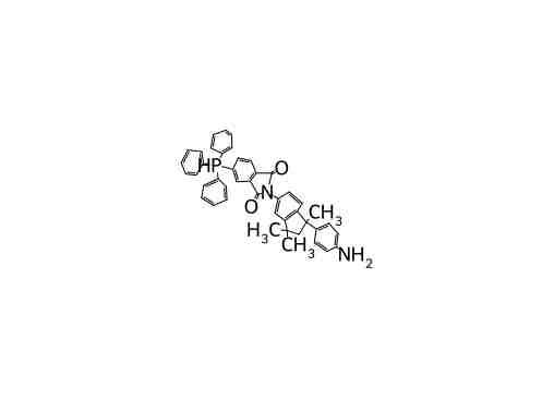 CC1(C)CC(C)(c2ccc(N)cc2)c2ccc(N3C(=O)c4ccc([PH](c5ccccc5)(c5ccccc5)c5ccccc5)cc4C3=O)cc21